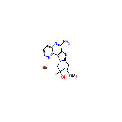 Br.COCCc1nc2c(N)nc3cccnc3c2n1CC(C)(C)O